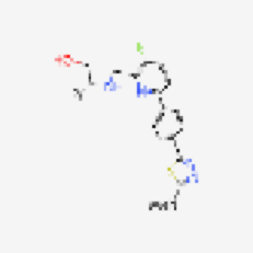 CNc1nnc(-c2ccc(-c3ccc(F)c(CN[C@@H](CO)C(C)C)n3)cc2)s1